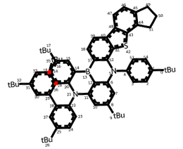 CC(C)(C)c1ccc(N2c3cc(C(C)(C)C)cc4c3B(c3cc(C(C)(C)C)ccc3N4c3ccc(C(C)(C)C)cc3-c3cc(C(C)(C)C)cc(C(C)(C)C)c3)c3ccc4c(sc5c6c(ccc54)CCC6)c32)cc1